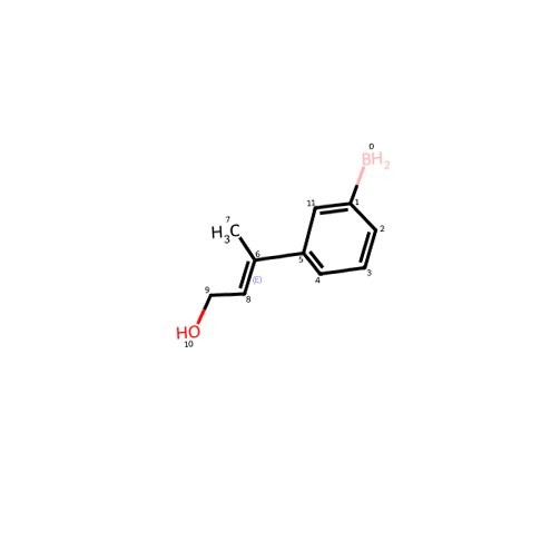 Bc1cccc(/C(C)=C/CO)c1